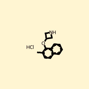 Cc1ccc2ccccc2c1OC1CNC1.Cl